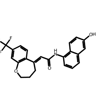 O=C(C=C1CCCOc2cc(C(F)(F)F)ccc21)Nc1cccc2cc(O)ccc12